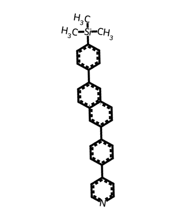 C[Si](C)(C)c1ccc(-c2ccc3cc(-c4ccc(-c5ccncc5)cc4)ccc3c2)cc1